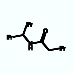 CC(C)CC(=O)NC(C(C)C)C(C)C